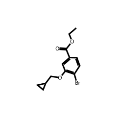 CCOC(=O)c1ccc(Br)c(OCC2CC2)c1